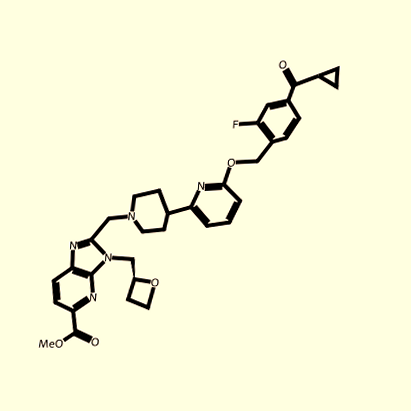 COC(=O)c1ccc2nc(CN3CCC(c4cccc(OCc5ccc(C(=O)C6CC6)cc5F)n4)CC3)n(C[C@@H]3CCO3)c2n1